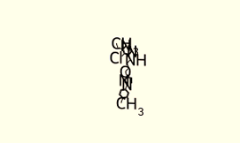 CCc1ncnc(NCCOc2ccn(-c3ccc(C)cc3)n2)c1Cl